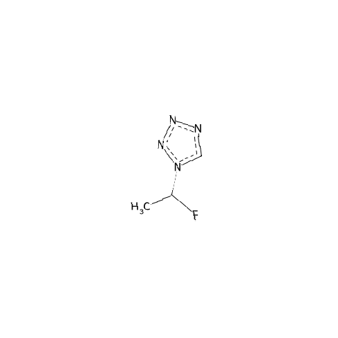 CC(F)n1cnnn1